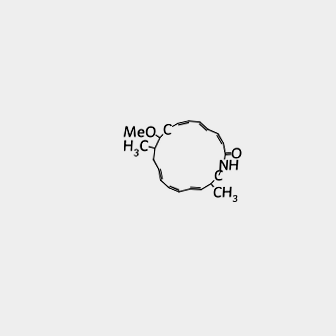 COC1C\C=C/C=C/C=C\C(=O)NCC(C)/C=C/C=C\C=C\CC1C